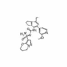 COc1cc(-c2cc(F)c3c(c2NC(=O)N=[S@](N)(=O)c2cnn4c2OCCC4)CCC3)ccn1